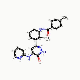 Cc1ccc(C(=O)Nc2cccc(-c3cc(Nc4ccccn4)c(=O)[nH]n3)c2C)cc1